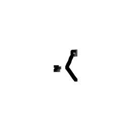 CCCl.[Zr]